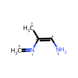 C=N/C(C)=C\N